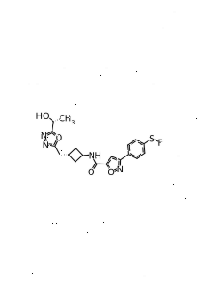 C[C@@H](O)c1nnc(C[C@H]2C[C@H](NC(=O)c3cc(-c4ccc(SF)cc4)no3)C2)o1